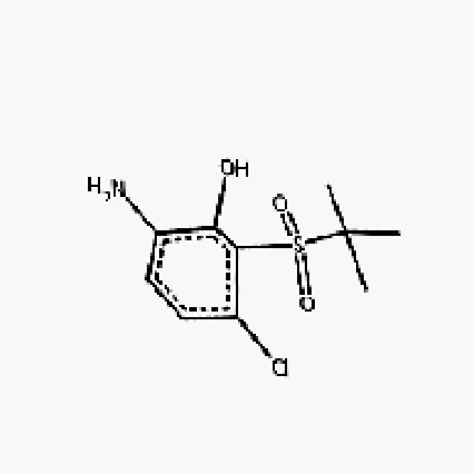 CC(C)(C)S(=O)(=O)c1c(Cl)ccc(N)c1O